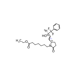 [3H][C@@](O)(/C=C/[C@H]1CCC(=O)N1CCCCCCC(=O)OCC)C(F)(F)c1ccccc1